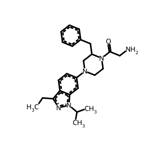 CCc1nn(C(C)C)c2cc(N3CCN(C(=O)CN)C(Cc4ccccc4)C3)ccc12